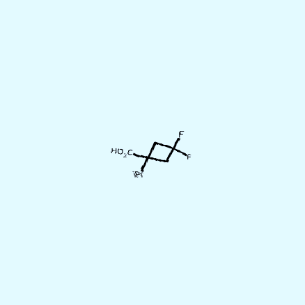 CC(C)C1(C(=O)O)CC(F)(F)C1